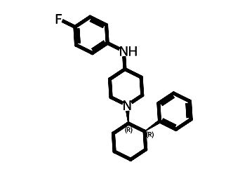 Fc1ccc(NC2CCN([C@@H]3CCCC[C@@H]3c3ccccc3)CC2)cc1